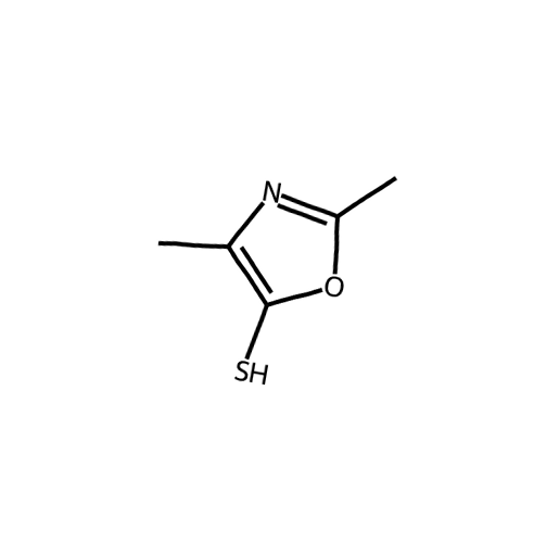 Cc1nc(C)c(S)o1